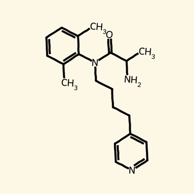 Cc1cccc(C)c1N(CCCCc1ccncc1)C(=O)C(C)N